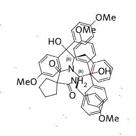 COc1ccc(C(O)(c2ccc(OC)cc2)[C@@H](Cc2ccccc2)N(C(=O)C2(C(N)=O)CCCC2)[C@H](Cc2ccccc2)C(O)(c2ccc(OC)cc2)c2ccc(OC)cc2)cc1